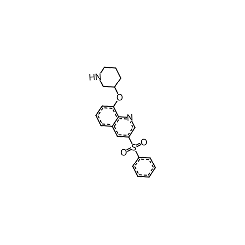 O=S(=O)(c1ccccc1)c1cnc2c(OC3CCCNC3)cccc2c1